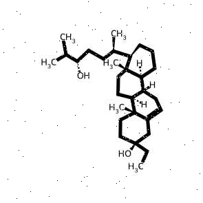 CC[C@]1(O)CC[C@@]2(C)C(=CC[C@H]3[C@@H]4CCC[C@H]([C@H](C)CC[C@H](O)C(C)C)[C@@]4(C)CC[C@@H]32)C1